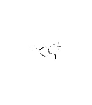 CC1(C)Cc2nc(N)ccc2C(=O)O1